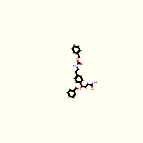 [NH]C(=O)CCC(OCc1ccccc1)c1ccc(CCNC(=O)OCc2ccccc2)cc1